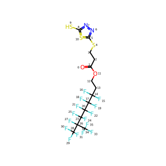 O=C(CCSc1nnc(S)s1)OCCC(F)(F)C(F)(F)C(F)(F)C(F)(F)C(F)(C(F)(F)F)C(F)(F)F